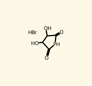 Br.O=C1PC(=O)C(O)C1O